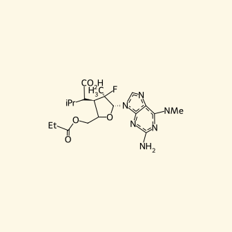 CCC(=O)OCC1O[C@@H](n2cnc3c(NC)nc(N)nc32)[C@](C)(F)[C@@H]1C(C(=O)O)C(C)C